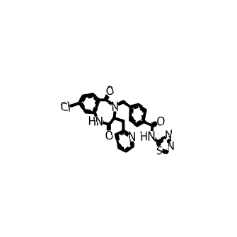 O=C(Nc1nncs1)c1ccc(CN2C(=O)c3ccc(Cl)cc3NC(=O)C2Cc2ccccn2)cc1